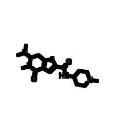 CN1CCC(NC(=O)c2cc3c(s2)CC(N(C)C)N(C)C3=O)CC1